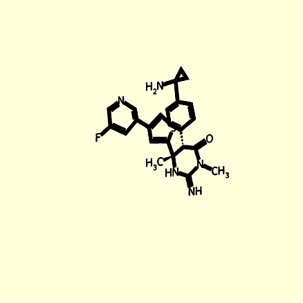 CN1C(=N)N[C@](C)(c2cc(-c3cncc(F)c3)cs2)[C@H](c2ccc(C3(N)CC3)cc2)C1=O